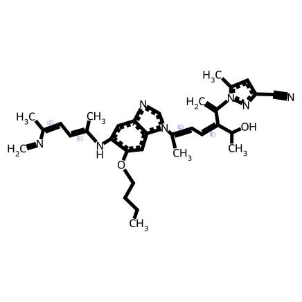 C=N/C(C)=C\C=C(/C)Nc1cc2ncn(/C(C)=C/C=C(\C(=C)n3nc(C#N)cc3C)C(C)O)c2cc1OCCCC